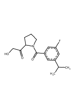 CC(C)c1cc(F)cc(C(=O)N2CCCC2C(=O)CO)c1